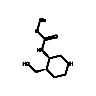 CC(C)(C)OC(=O)N[C@H]1CNCC[C@@H]1CO